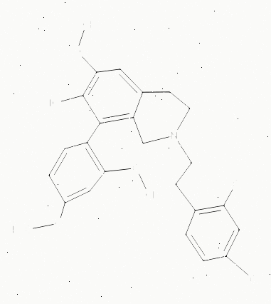 COc1ccc(-c2c(O)c(OC)cc3c2CN(CCc2ccc(Cl)cc2Cl)CC3)c(OC)c1